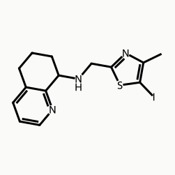 Cc1nc(CNC2CCCc3cccnc32)sc1I